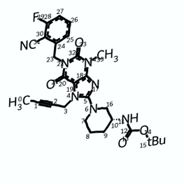 CC#CCn1c(N2CCC[C@@H](NC(=O)OC(C)(C)C)C2)nc2c1c(=O)n(Cc1cccc(F)c1C#N)c(=O)n2C